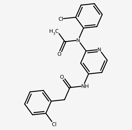 CC(=O)N(c1cc(NC(=O)Cc2ccccc2Cl)ccn1)c1ccccc1Cl